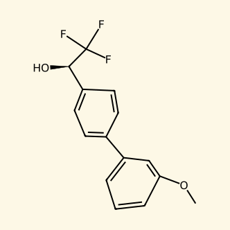 COc1cccc(-c2ccc([C@@H](O)C(F)(F)F)cc2)c1